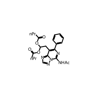 CCCC(=O)OC(Cc1c(-c2ccccc2)nc(NC(C)=O)n2ncnc12)OC(=O)CCC